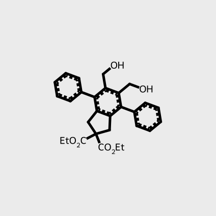 CCOC(=O)C1(C(=O)OCC)Cc2c(c(-c3ccccc3)c(CO)c(CO)c2-c2ccccc2)C1